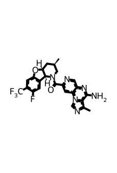 Cc1ncn2c1c(N)nc1cnc(C(=O)N3C[C@H](C)C[C@@H]4Oc5cc(C(F)(F)F)c(F)cc5[C@@H]43)cc12